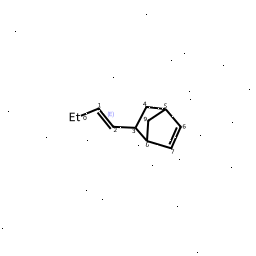 CC/C=C/C1CC2C=CC1C2